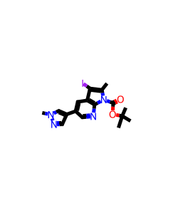 Cc1c(I)c2cc(-c3cnn(C)c3)cnc2n1C(=O)OC(C)(C)C